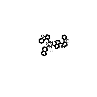 C1=Cc2oc3ccccc3c2C(c2cccc3c(C4=NC(c5cccc6oc7ccccc7c56)=NC(c5ccc6ccccc6c5)N4)cccc23)N1